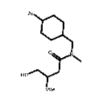 CSC(CO)CC(=O)N(C)CC1CCC(C(C)=O)CC1